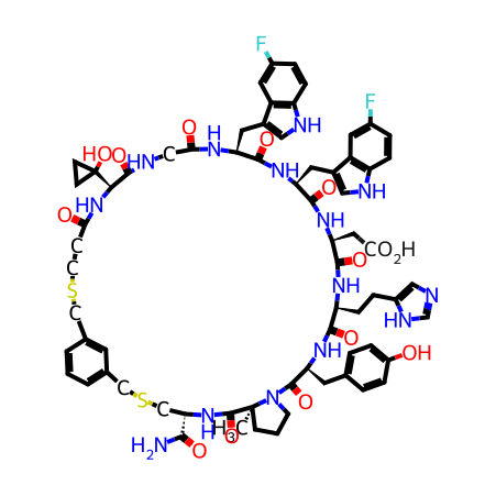 C[C@@]12CCCN1C(=O)[C@H](Cc1ccc(O)cc1)NC(=O)[C@H](CCc1cnc[nH]1)NC(=O)[C@H](CC(=O)O)NC(=O)[C@H](Cc1c[nH]c3ccc(F)cc13)NC(=O)[C@H](Cc1c[nH]c3ccc(F)cc13)NC(=O)CNC(=O)[C@H](C1(O)CC1)NC(=O)CCSCc1cccc(c1)CSC[C@@H](C(N)=O)NC2=O